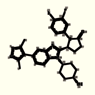 Cc1noc(C)c1-c1ccc2c(c1)nc([C@@H]1CCC(=O)N1c1ccc(F)c(F)c1)n2[C@H]1CC[C@@H](O)CC1